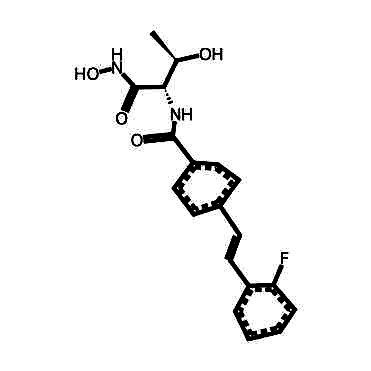 C[C@@H](O)[C@H](NC(=O)c1ccc(/C=C/c2ccccc2F)cc1)C(=O)NO